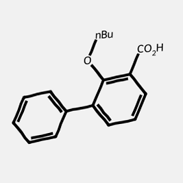 CCCCOc1c(C(=O)O)cccc1-c1ccccc1